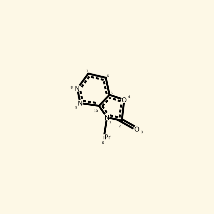 CC(C)n1c(=O)oc2ccnnc21